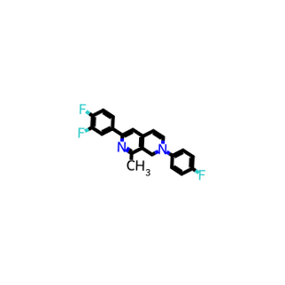 Cc1nc(-c2ccc(F)c(F)c2)cc2c1CN(c1ccc(F)cc1)C=C2